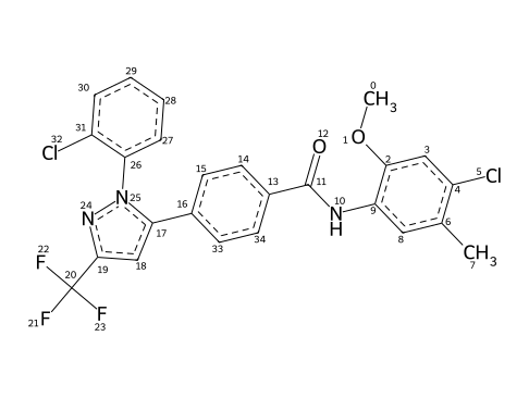 COc1cc(Cl)c(C)cc1NC(=O)c1ccc(-c2cc(C(F)(F)F)nn2-c2ccccc2Cl)cc1